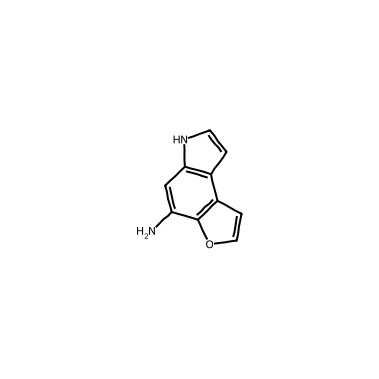 Nc1cc2[nH]ccc2c2ccoc12